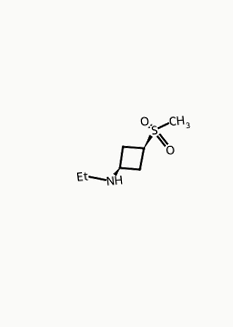 CCN[C@H]1C[C@@H](S(C)(=O)=O)C1